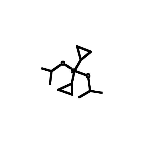 CC(C)O[Si](OC(C)C)(C1CC1)C1CC1